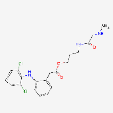 O=C(C[NH][AlH2])NCCCOC(=O)Cc1ccccc1Nc1c(Cl)cccc1Cl